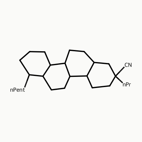 CCCCCC1CCCC2C1CCC1C3CCC(C#N)(CCC)CC3CCC21